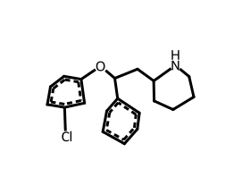 Clc1cccc(OC(CC2CCCCN2)c2ccccc2)c1